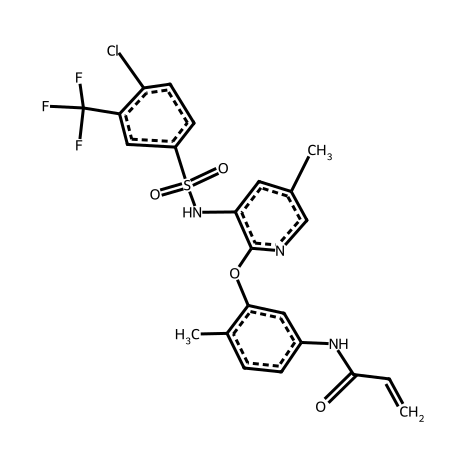 C=CC(=O)Nc1ccc(C)c(Oc2ncc(C)cc2NS(=O)(=O)c2ccc(Cl)c(C(F)(F)F)c2)c1